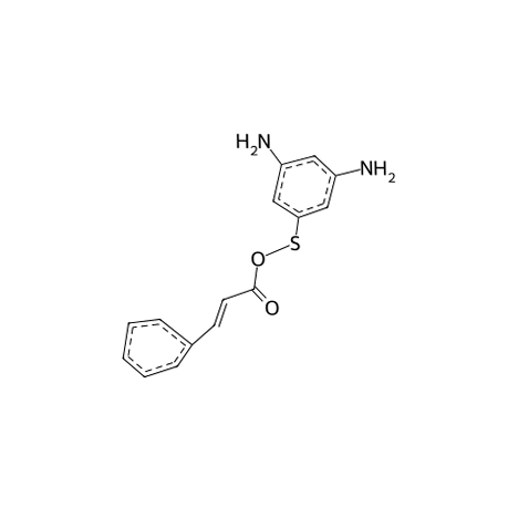 Nc1cc(N)cc(SOC(=O)/C=C/c2ccccc2)c1